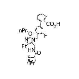 CCCOc1nc(CC)c(CNC(=O)[C@H](CC(C)C)SC(C)=O)n1Cc1ccc(-c2ccccc2C(=O)O)cc1F